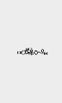 Cl.O=C(O)CC[C@H]1CC[C@H](N2CCN(c3ccc4c(c3)CCNCC4)C2=O)CC1